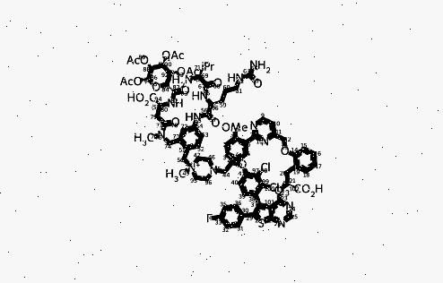 COc1ccccc1-c1nccc(COc2ccccc2C[C@@H](Oc2ncnc3sc(-c4ccc(F)cc4)c(-c4ccc(OCCN5CC[N+](C)(Cc6ccc(NC(=O)[C@H](CCCNC(N)=O)NC(=O)[C@@H](N)C(C)C)cc6CN(C)C(=O)C[C@H](NC(=O)[C@@H]6O[C@H](OC(C)=O)[C@@H](OC(C)=O)[C@H](OC(C)=O)[C@H]6OC(C)=O)C(=O)O)CC5)c(Cl)c4C)c23)C(=O)O)n1